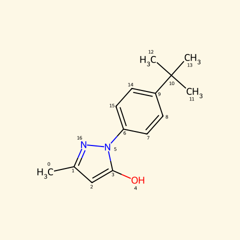 Cc1cc(O)n(-c2ccc(C(C)(C)C)cc2)n1